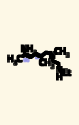 CCNCCN(C)C/C(C)=C/C=C(/C)N